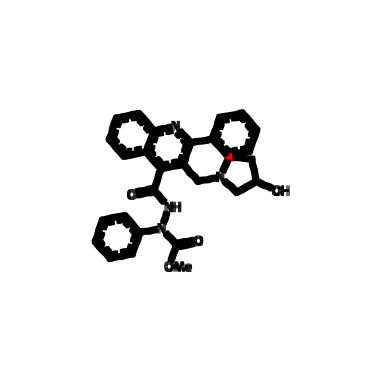 COC(=O)N(NC(=O)c1c(CN2CCC(O)C2)c(-c2ccccc2)nc2ccccc12)c1ccccc1